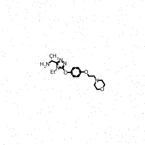 CCn1c(Oc2ccc(OCCN3CCOCC3)cc2)nnc1[C@@H](C)N